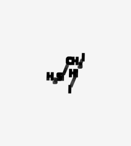 C[SiH3].I[IH]I